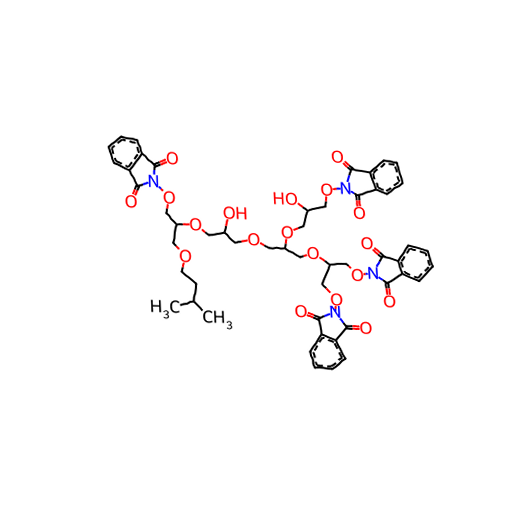 CC(C)CCOCC(CON1C(=O)c2ccccc2C1=O)OCC(O)COCC(COC(CON1C(=O)c2ccccc2C1=O)CON1C(=O)c2ccccc2C1=O)OCC(O)CON1C(=O)c2ccccc2C1=O